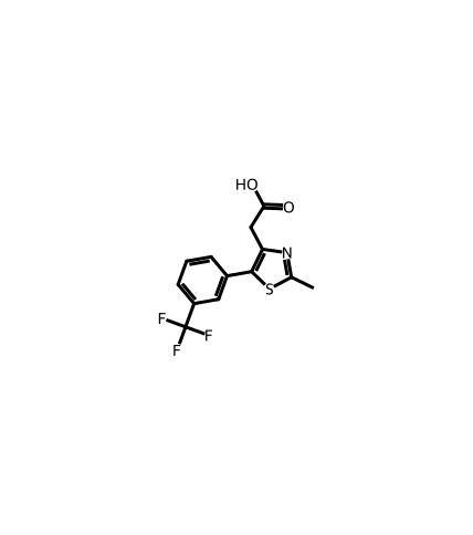 Cc1nc(CC(=O)O)c(-c2cccc(C(F)(F)F)c2)s1